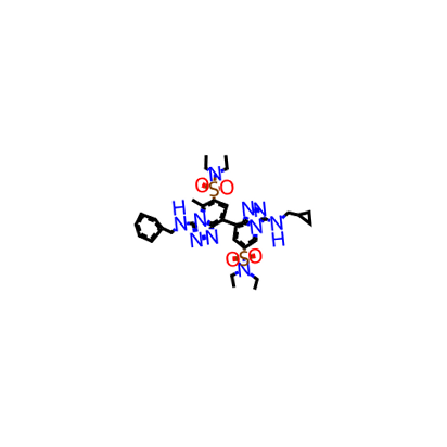 CCN(CC)S(=O)(=O)c1cc(-c2cc(S(=O)(=O)N(CC)CC)c(C)n3c(NCc4ccccc4)nnc23)c2nnc(NCC3CC3)n2c1